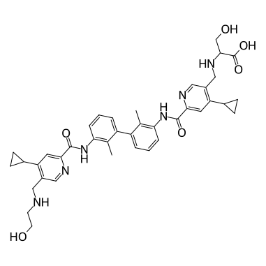 Cc1c(NC(=O)c2cc(C3CC3)c(CNCCO)cn2)cccc1-c1cccc(NC(=O)c2cc(C3CC3)c(CNC(CO)C(=O)O)cn2)c1C